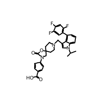 CC(C)n1cc(CN2CCC3(CC2)CN(c2ccc(C(=O)O)cc2)C(=O)O3)c2c(-c3cc(F)c(F)cc3F)cccc21